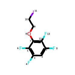 Fc1cc(F)c(F)c(OCCI)c1F